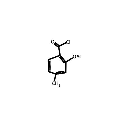 CC(=O)Oc1cc(C)ccc1C(=O)Cl